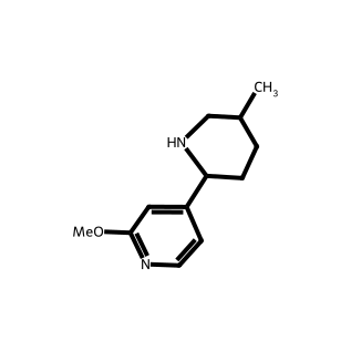 COc1cc(C2CCC(C)CN2)ccn1